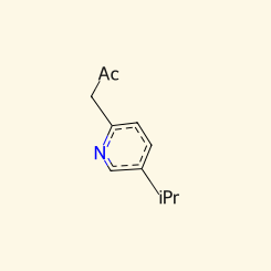 CC(=O)Cc1ccc(C(C)C)cn1